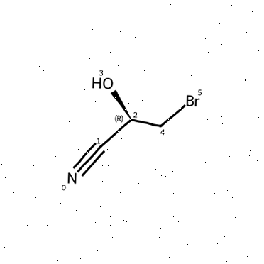 N#C[C@@H](O)CBr